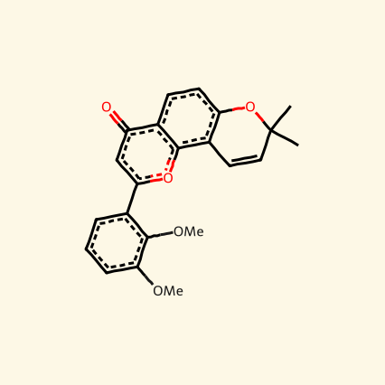 COc1cccc(-c2cc(=O)c3ccc4c(c3o2)C=CC(C)(C)O4)c1OC